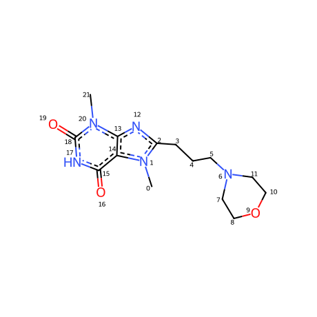 Cn1c(CCCN2CCOCC2)nc2c1c(=O)[nH]c(=O)n2C